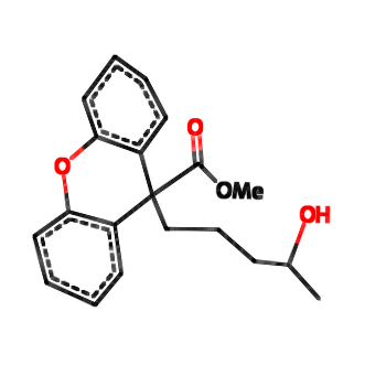 COC(=O)C1(CCCC(C)O)c2ccccc2Oc2ccccc21